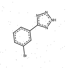 Brc1c[c]cc(-c2nn[nH]n2)c1